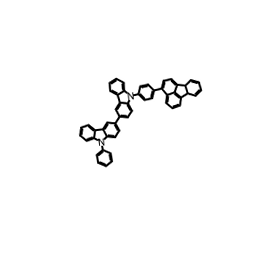 C1=CC2c3cccc4c(-c5ccc(-n6c7ccccc7c7cc(-c8ccc9c(c8)c8ccccc8n9-c8ccccc8)ccc76)cc5)ccc(c34)C2C=C1